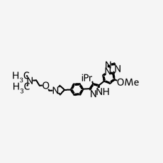 COc1cc(-c2[nH]nc(-c3ccc(C4CN(COCCN(C)C)C4)cc3)c2C(C)C)cn2ncnc12